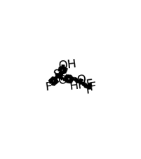 O=C(C=Cc1ccc(Oc2c(-c3ccc(F)cc3)sc3cc(O)ccc23)cc1)NCCC(F)(F)F